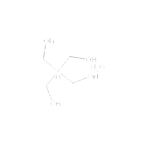 O.OC[PH](CO)(CO)CO